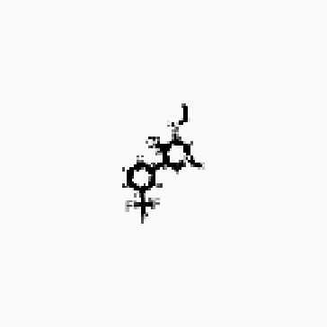 CCSc1cn(C)cc(-c2cccc(C(F)(F)F)c2)c1=O